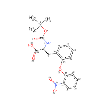 CC(C)(C)OC(=O)N[C@@H](Cc1ccccc1Oc1ccccc1[N+](=O)[O-])C(=O)O